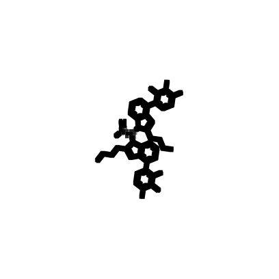 CCCCC1=Cc2c(-c3ccc(C)c(C)c3C)cccc2[CH]1[Hf]([CH]1C(CCCC)=Cc2c(-c3ccc(C)c(C)c3C)cccc21)[SiH](C)C